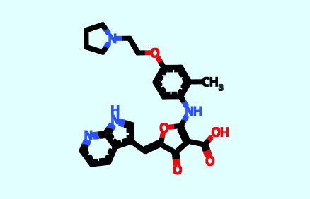 Cc1cc(OCCN2CCCC2)ccc1NC1=C(C(=O)O)C(=O)C(=Cc2c[nH]c3ncccc23)O1